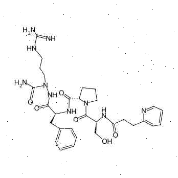 N=C(N)NCCCN(NC(=O)[C@H](Cc1ccccc1)NC(=O)[C@@H]1CCCN1C(=O)[C@H](CO)NC(=O)CCc1ccccn1)C(N)=O